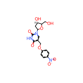 O=c1[nH]c(=O)n(C2C[C@H](O)C(CO)O2)cc1COc1ccc([N+](=O)[O-])cc1